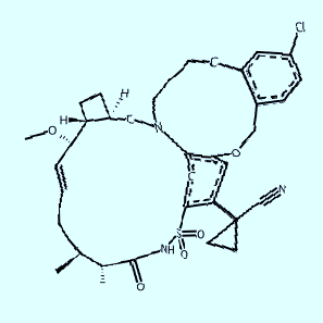 CO[C@H]1/C=C/C[C@H](C)[C@@H](C)C(=O)NS(=O)(=O)c2cc3c(cc2C2(C#N)CC2)OCc2ccc(Cl)cc2CCCCN3C[C@@H]2CC[C@H]21